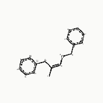 CC(=COCc1ccccc1)Cc1ccccc1